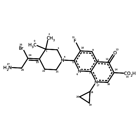 CC1(C)CN(c2nc3c(cc2F)c(=O)c(C(=O)O)cn3C2CC2)CCC1=C(Br)CN